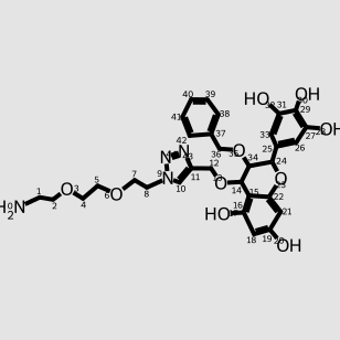 NCCOCCOCCn1cc(COC2c3c(O)cc(O)cc3OC(c3cc(O)c(O)c(O)c3)C2OCc2ccccc2)nn1